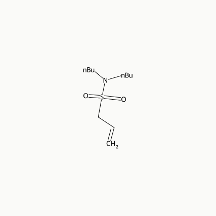 C=CCS(=O)(=O)N(CCCC)CCCC